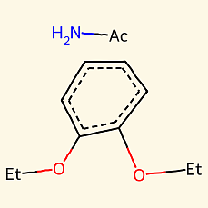 CC(N)=O.CCOc1ccccc1OCC